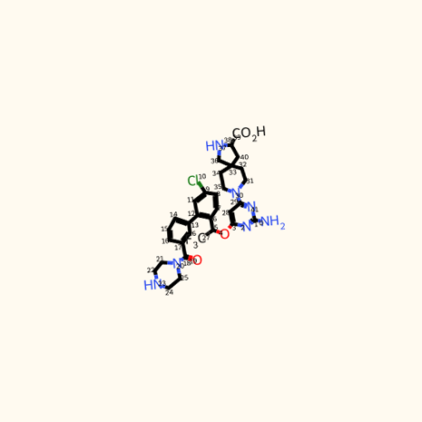 Nc1nc(OC(c2ccc(Cl)cc2-c2cccc(C(=O)N3CCNCC3)c2)C(F)(F)F)cc(N2CCC3(CC2)CNC(C(=O)O)C3)n1